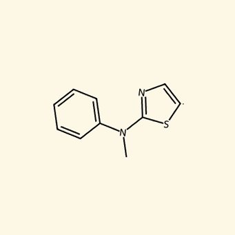 CN(c1ccccc1)c1nc[c]s1